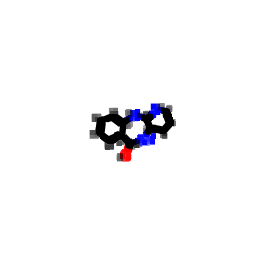 O=C1Nc2cccnc2[N]c2ccccc21